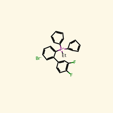 CC[P+](c1ccccc1)(c1ccccc1)c1ccccc1-c1ccc(F)c(F)c1.[Br-]